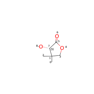 CC1(C)COC(=O)[C@H]1[O]